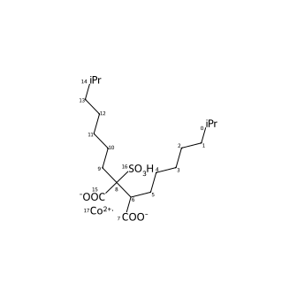 CC(C)CCCCCC(C(=O)[O-])C(CCCCCC(C)C)(C(=O)[O-])S(=O)(=O)O.[Co+2]